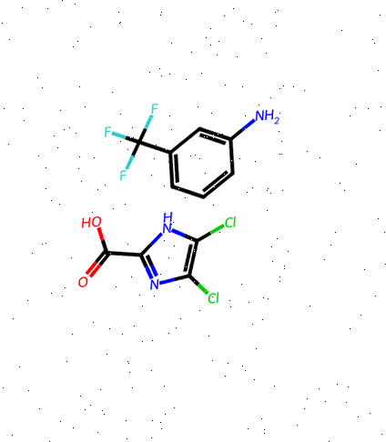 Nc1cccc(C(F)(F)F)c1.O=C(O)c1nc(Cl)c(Cl)[nH]1